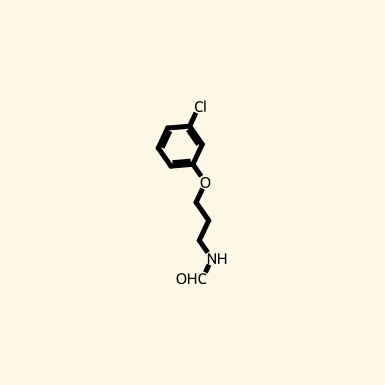 O=CNCCCOc1cccc(Cl)c1